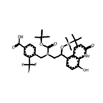 CC(C)(C)OC(=O)N(Cc1ccc(C(=O)O)cc1C(F)(F)F)CC(O[Si](C)(C)C(C)(C)C)c1ccc(O)c2[nH]c(=O)ccc12